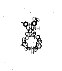 Cc1cccc(C[C@H](NC(=O)Nc2ccc3c(c2)OCO3)C(=O)N[C@H]2COC(=O)[C@@H]3C[C@@H](C)CN3C(=O)[C@H](C)NC(=O)[C@@H]3CCCCN3C(=O)[C@@H]3CCCN3C2=O)c1